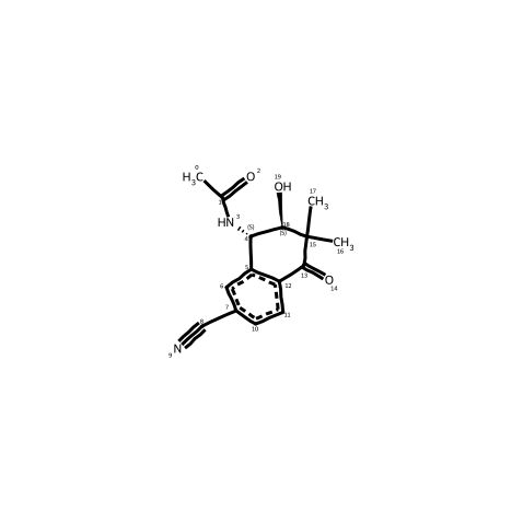 CC(=O)N[C@H]1c2cc(C#N)ccc2C(=O)C(C)(C)[C@@H]1O